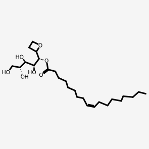 CCCCCCCC/C=C\CCCCCCCC(=O)O[C@@H](C1CCO1)[C@@H](O)[C@H](O)[C@H](O)CO